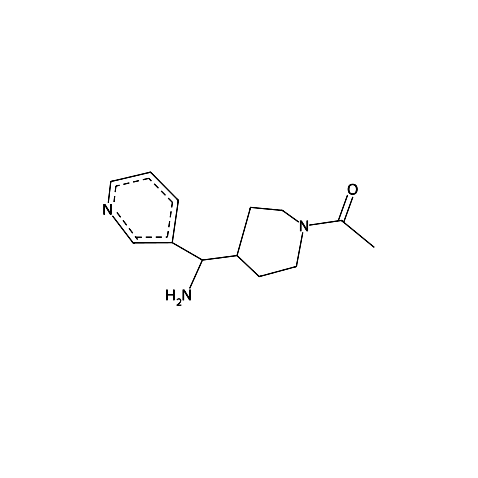 CC(=O)N1CCC(C(N)c2cccnc2)CC1